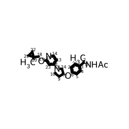 CC(=O)N[C@@H](C)c1ccc(O[C@@H]2CCN(c3ccnc(OCC4(C)CC4)c3)C2)cc1